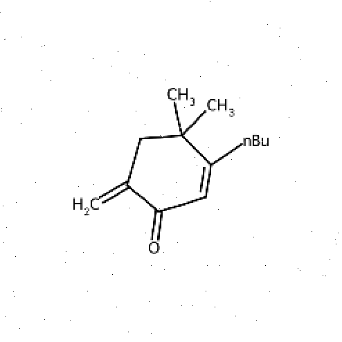 C=C1CC(C)(C)C(CCCC)=CC1=O